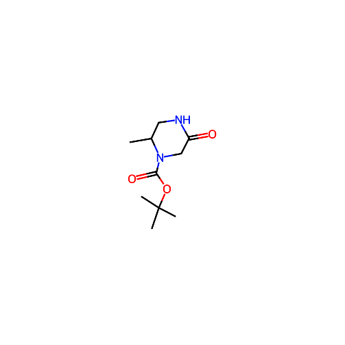 CC1CNC(=O)CN1C(=O)OC(C)(C)C